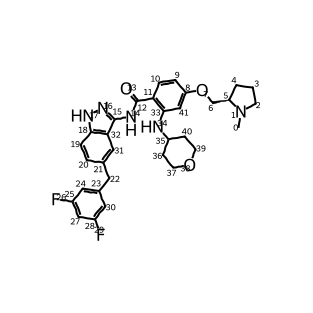 CN1CCC[C@@H]1COc1ccc(C(=O)Nc2n[nH]c3ccc(Cc4cc(F)cc(F)c4)cc23)c(NC2CCOCC2)c1